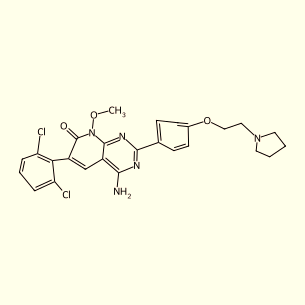 COn1c(=O)c(-c2c(Cl)cccc2Cl)cc2c(N)nc(-c3ccc(OCCN4CCCC4)cc3)nc21